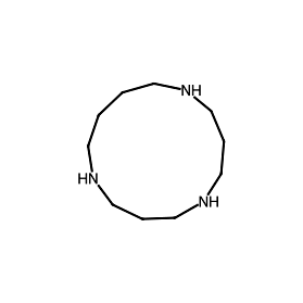 C1CCNCCCNCCCNC1